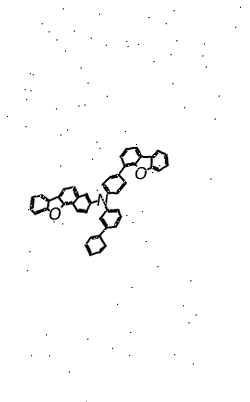 c1ccc(-c2cccc(N(c3ccc(-c4cccc5c4oc4ccccc45)cc3)c3ccc4c(ccc5c6ccccc6oc45)c3)c2)cc1